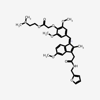 COc1ccc2c(c1)C(CC(=O)NCc1ccco1)=C(C)/C2=C/c1cc(OC)c(OCC(=O)OCCN(C)C)c(OC)c1